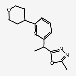 Cc1nnc(C(C)c2cccc(C3CCOCC3)n2)o1